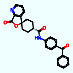 O=C(c1ccccc1)c1ccc(NC(=O)[C@H]2CC[C@@]3(CC2)OC(=O)c2ncccc23)cc1